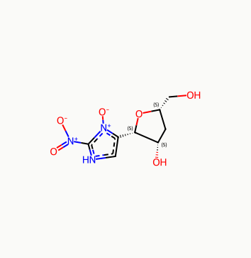 O=[N+]([O-])c1[nH]cc([C@@H]2O[C@H](CO)C[C@@H]2O)[n+]1[O-]